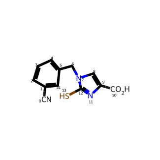 N#Cc1cccc(Cn2cc(C(=O)O)nc2S)c1